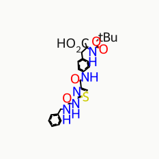 CC(C)(C)OC(=O)NC(Cc1ccc(NC(=O)c2csc(NC(=O)NCc3ccccc3)n2)cc1)C(=O)O